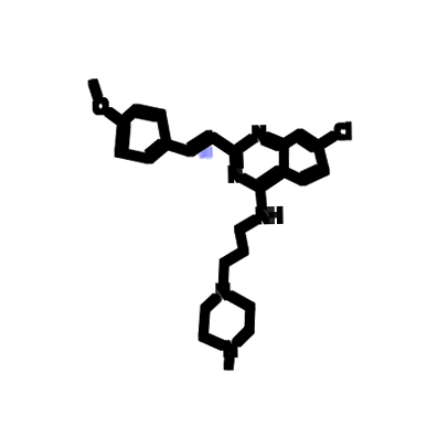 COc1ccc(/C=C/c2nc(NCCCN3CCN(C)CC3)c3ccc(Cl)cc3n2)cc1